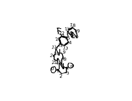 O=C1CCC(=O)N1N1CCN(Cc2ccc(-n3cccn3)c(F)c2)CC1